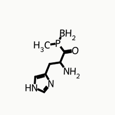 BP(C)C(=O)C(N)Cc1c[nH]cn1